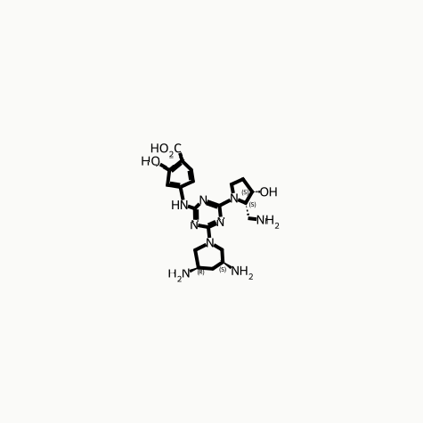 NC[C@H]1[C@@H](O)CCN1c1nc(Nc2ccc(C(=O)O)c(O)c2)nc(N2C[C@H](N)C[C@H](N)C2)n1